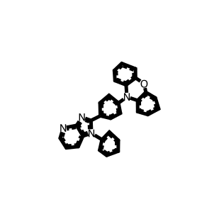 c1ccc(-n2c(-c3ccc(N4c5ccccc5Oc5ccccc54)cc3)nc3ncccc32)cc1